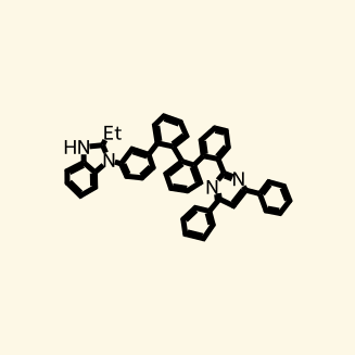 CCC1Nc2ccccc2N1c1cccc(-c2ccccc2-c2ccccc2-c2ccccc2-c2nc(-c3ccccc3)cc(-c3ccccc3)n2)c1